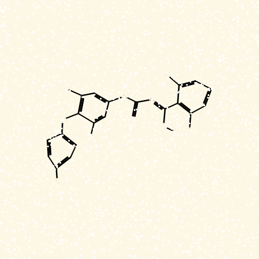 CCOC(=NC(=O)Nc1cc(Cl)c(Oc2ccc([N+](=O)[O-])cc2)c(Cl)c1)c1c(F)cccc1F